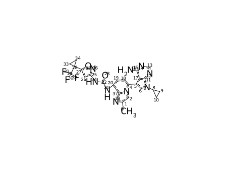 Cc1cn2c(-c3cn(C4CC4)c4ncnc(N)c34)ccc(NC(=O)Nc3cc(C4(C(F)(F)F)CC4)on3)c2n1